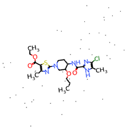 CCCOC1CN(c2nc(C)c(C(=O)OCC)s2)CCC1NC(=O)c1nc(Cl)c(C)[nH]1